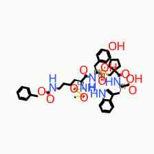 CS(=O)(=O)N[C@@H](CCCCNC(=O)OCc1ccccc1)C(=O)N[C@@H](Cc1ccc(O)cc1)[P@@](=O)(O)CC1(C(=O)N[C@@H](Cc2c[nH]c3ccccc23)C(=O)O)CCCC1